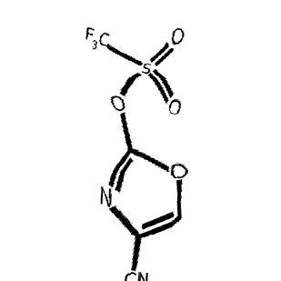 N#Cc1coc(OS(=O)(=O)C(F)(F)F)n1